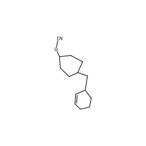 N#COC1CCC(CC2C=CCCC2)CC1